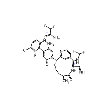 CC1CCCC(n2cnc(-c3c(N(N)/C=C(\N)C(F)F)ccc(Cl)c3F)cc2=O)c2cc(ccn2)/C(NC(F)F)=C(/C=N)NC1=O